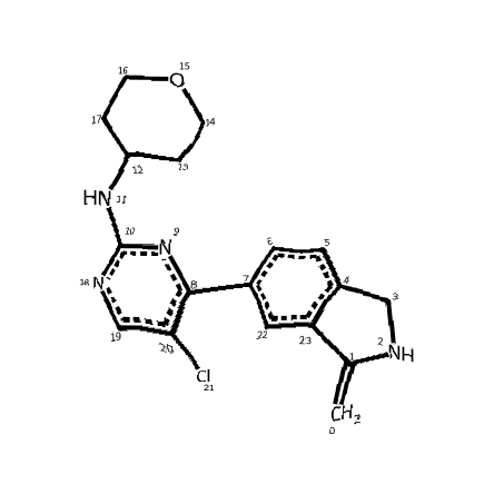 C=C1NCc2ccc(-c3nc(NC4CCOCC4)ncc3Cl)cc21